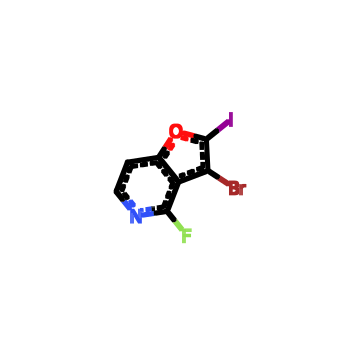 Fc1nccc2oc(I)c(Br)c12